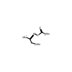 CCCCC(CSC)=NOC(=O)NC